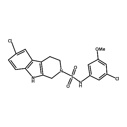 COc1cc(Cl)cc(NS(=O)(=O)N2CCc3c([nH]c4ccc(Cl)cc34)C2)c1